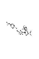 C=C(C)c1ccc(-c2nnc(SCc3ccc(C(C)(C)C)cc3)n2Cc2ccco2)cc1